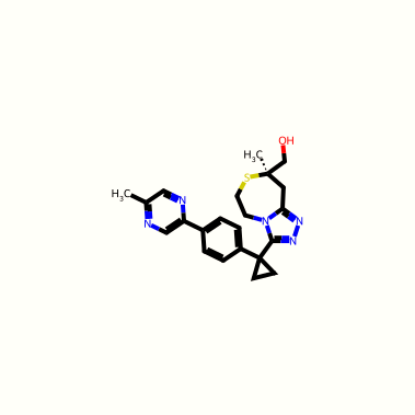 Cc1cnc(-c2ccc(C3(c4nnc5n4CCS[C@@](C)(CO)C5)CC3)cc2)cn1